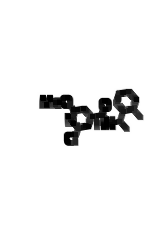 COc1cc(C(=O)NC(C)c2ccccc2C)cc(Cl)n1